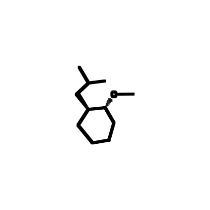 CO[C@@H]1CCCC[C@H]1CC(C)C